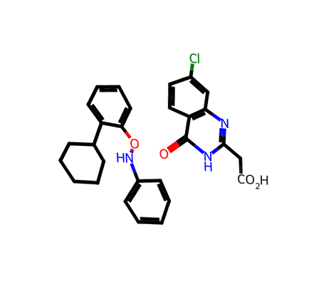 O=C(O)Cc1nc2cc(Cl)ccc2c(=O)[nH]1.c1ccc(NOc2ccccc2C2CCCCC2)cc1